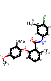 COc1cc(OC(F)(F)F)ccc1Oc1cccc(C(F)(F)F)c1C(=O)Nc1ccc(F)c(C)c1